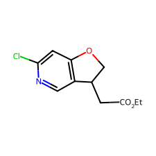 CCOC(=O)CC1COc2cc(Cl)ncc21